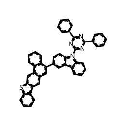 c1ccc(-c2nc(-c3ccccc3)nc(-n3c4ccccc4c4cc(-c5cc6cc7c(cc6c6ccccc56)sc5ccccc57)ccc43)n2)cc1